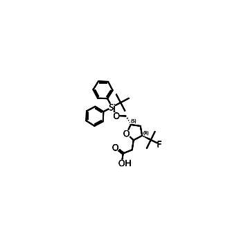 CC(C)(F)[C@@H]1C[C@@H](CO[Si](c2ccccc2)(c2ccccc2)C(C)(C)C)OC1CC(=O)O